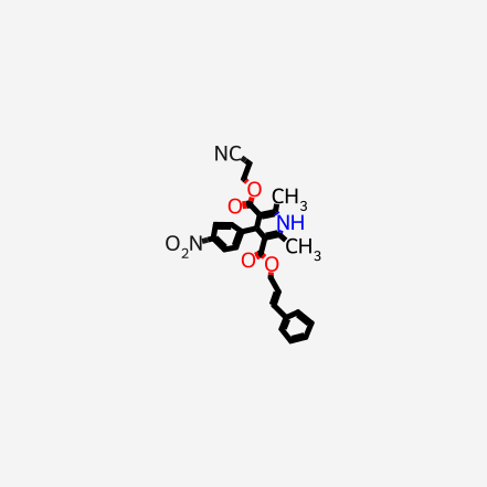 CC1=C(C(=O)OC/C=C/c2ccccc2)C(c2ccc([N+](=O)[O-])cc2)C(C(=O)OCCC#N)=C(C)N1